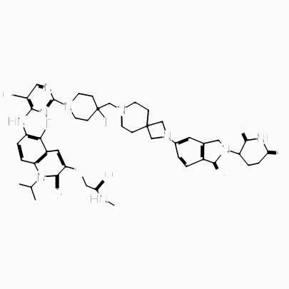 CNC(=O)COc1cc2c(F)c(Nc3nc(N4CCC(F)(CN5CCC6(CC5)CN(c5ccc7c(c5)CN(C5CCC(=O)NC5=O)C7=O)C6)CC4)ncc3Cl)ccc2n(C(C)C)c1=O